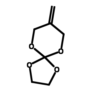 C=C1COC2(OCCO2)OC1